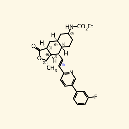 CCOC(=O)N[C@H]1CC[C@@H]2[C@H](C1)C[C@@H]1C(=O)O[C@@H](C)[C@@H]1[C@@H]2/C=C/c1ccc(-c2cccc(F)c2)cn1